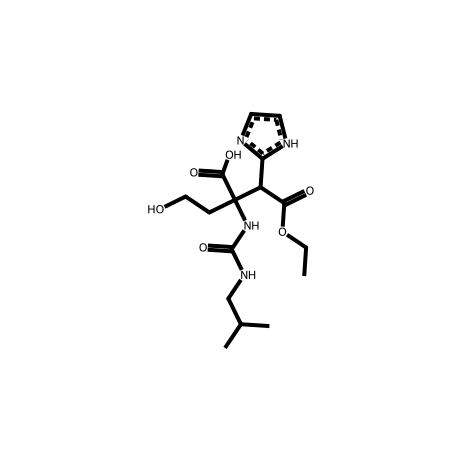 CCOC(=O)C(c1ncc[nH]1)C(CCO)(NC(=O)NCC(C)C)C(=O)O